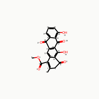 COC(=O)C1=C(C)CC(=O)c2c1cc1c(c2O)C(=O)c2c(O)cccc2C1=O